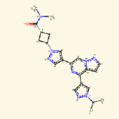 CCC(CC)n1cc(-c2nc(-c3cnn([C@H]4C[C@@H](C(=O)N(C)C)C4)c3)cn3nccc23)cn1